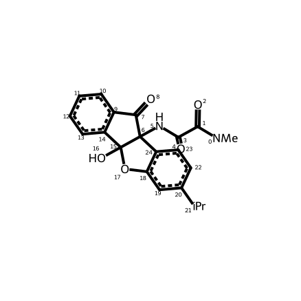 CNC(=O)C(=O)NC12C(=O)c3ccccc3C1(O)Oc1cc(C(C)C)ccc12